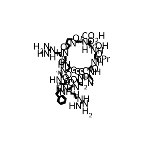 CCC[C@@H]1NC(=O)[C@@H](NC(=O)CN)CCCCC(C(=O)N[C@@H](C)C(=O)N[C@@H](Cc2cc3ccccc3[nH]2)C(=O)N[C@@H](CCCNC(=N)N)C(=O)NC(C)C(N)=O)NC(=O)[C@H](CCCNC(=N)N)NC(=O)C2CCCN2C(=O)[C@H](CC(=O)O)NC(=O)[C@H](CO)NC1=O